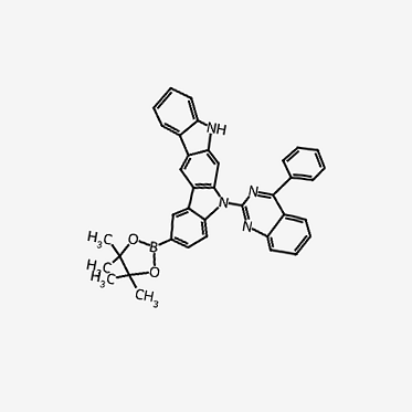 CC1(C)OB(c2ccc3c(c2)c2cc4c(cc2n3-c2nc(-c3ccccc3)c3ccccc3n2)[nH]c2ccccc24)OC1(C)C